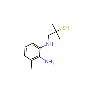 Cc1cccc(NCC(C)(C)S)c1N